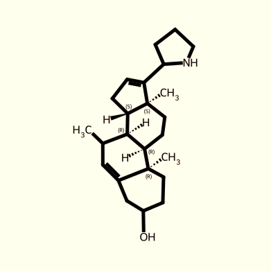 CC1C=C2CC(O)CC[C@]2(C)[C@@H]2CC[C@]3(C)C(C4CCCN4)=CC[C@H]3[C@H]12